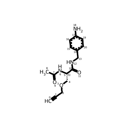 C#CCOC[C@H](NC(C)=O)C(=O)NCc1ccc(N)cc1